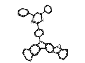 c1ccc(-c2cc(-c3ccccc3)nc(-c3ccc(-n4c5cc6ccccc6cc5c5cc6c(cc54)oc4ccccc46)cc3)n2)cc1